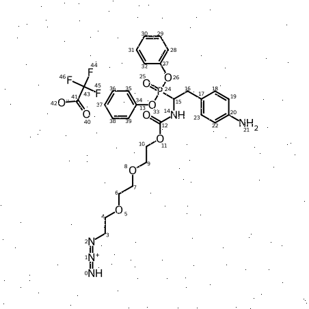 N=[N+]=NCCOCCOCCOC(=O)NC(Cc1ccc(N)cc1)P(=O)(Oc1ccccc1)Oc1ccccc1.O=C([O-])C(F)(F)F